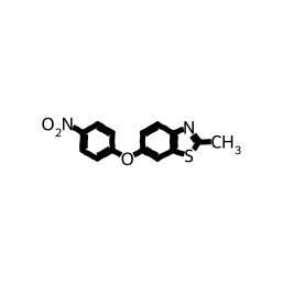 Cc1nc2ccc(Oc3ccc([N+](=O)[O-])cc3)cc2s1